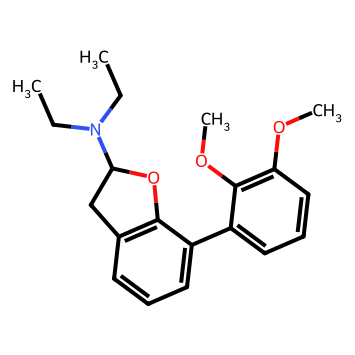 CCN(CC)C1Cc2cccc(-c3cccc(OC)c3OC)c2O1